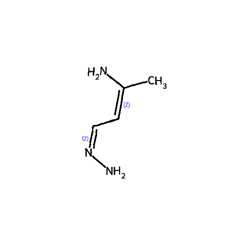 C/C(N)=C/C=N\N